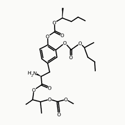 CCCC(C)OC(=O)Oc1cc(C[C@H](N)C(=O)OC(C)C(C)OC(=O)OC)ccc1OC(=O)O[C@@H](C)CCC